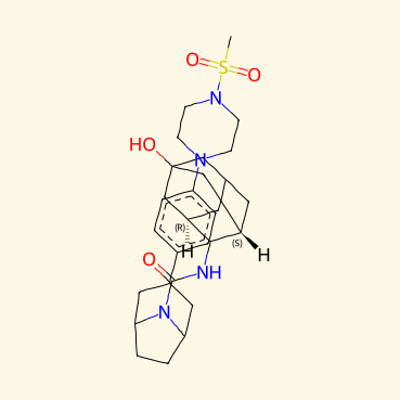 CS(=O)(=O)N1CCN(c2ccc(C3CC4CCC(C3)N4C(=O)NC3[C@@H]4CC5C[C@H]3CC(O)(C5)C4)cc2)CC1